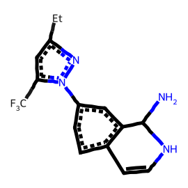 CCc1cc(C(F)(F)F)n(-c2ccc3c(c2)C(N)NC=C3)n1